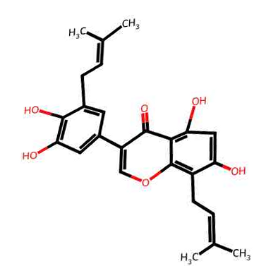 CC(C)=CCc1cc(-c2coc3c(CC=C(C)C)c(O)cc(O)c3c2=O)cc(O)c1O